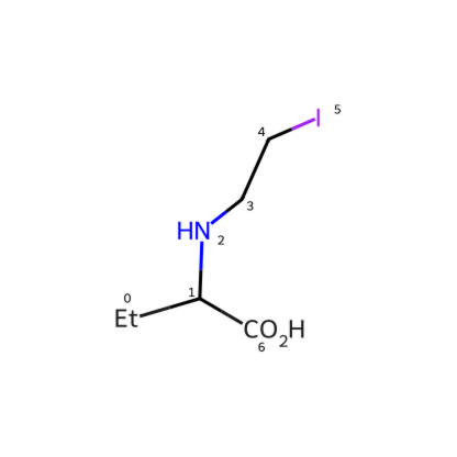 CCC(NCCI)C(=O)O